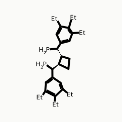 CCc1cc(C(P)[C@@H]2CC[C@H]2C(P)c2cc(CC)c(CC)c(CC)c2)cc(CC)c1CC